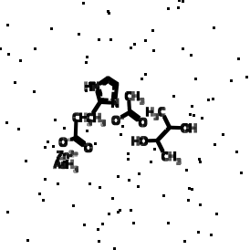 CC(=O)[O-].CC(=O)[O-].CC(O)C(C)O.Cc1ncc[nH]1.[AsH3].[Zn+2]